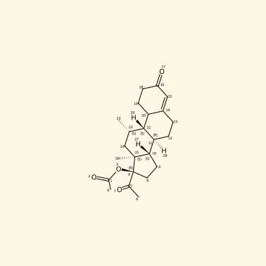 CC(=O)O[C@]1(C(C)=O)CC[C@H]2[C@@H]3CCC4=CC(=O)CCC4[C@H]3[C@@H](C)C[C@@]21C